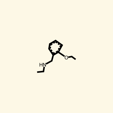 CCNCc1ccccc1OCC